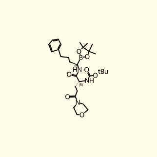 CC(C)(C)OC(=O)N[C@H](CCC(=O)N1CCOCC1)C(=O)N[C@@H](CCCc1ccccc1)B1OC(C)(C)C(C)(C)O1